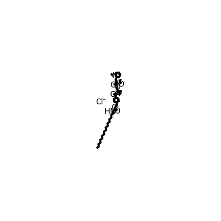 CCCCCCCCCCCCCCCCCCNC(=O)OCc1ccc(C(=O)N2CCC2COC(=O)N(Cc2cccc[n+]2CC)C(C)=O)cc1.[Cl-]